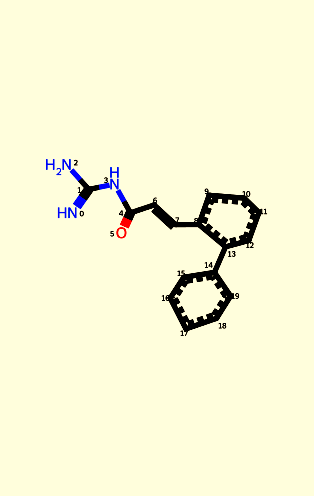 N=C(N)NC(=O)C=Cc1ccccc1-c1ccccc1